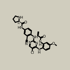 C=CC(=O)Nc1cc(OC)ccc1Nc1nc(Nc2ccc(NC(=O)[C@H]3CCCN3)cc2C#N)ncc1Cl